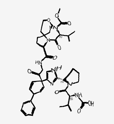 COC(=O)N[C@H](C(=O)N1C(C(=O)NCC(=O)C2(c3c[nH]c([C@@H]4CCCN4C(=O)[C@@H](NC(=O)O)C(C)C)n3)C=CC(c3ccccc3)C=C2)CCC12CCOCC2)C(C)C